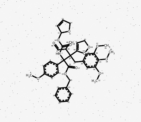 COc1ccc(C(NC(=O)OC2C=CCO2)(C(=O)OCc2ccccc2)C(Cc2cc(OC)c(OC)c(OC)c2)(C2=CCOO2)C(C)C=O)cc1